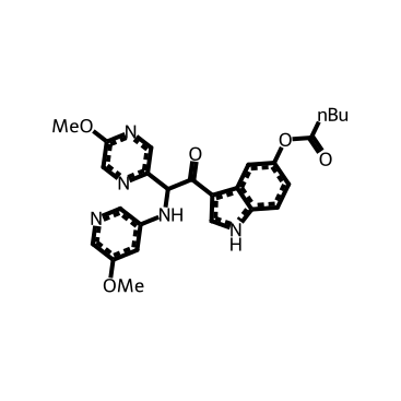 CCCCC(=O)Oc1ccc2[nH]cc(C(=O)C(Nc3cncc(OC)c3)c3cnc(OC)cn3)c2c1